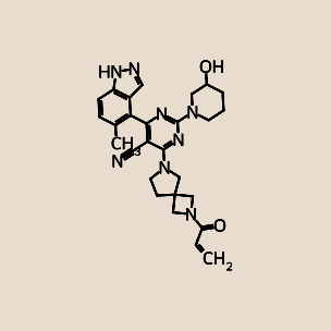 C=CC(=O)N1CC2(CCN(c3nc(N4CCCC(O)C4)nc(-c4c(C)ccc5[nH]ncc45)c3C#N)C2)C1